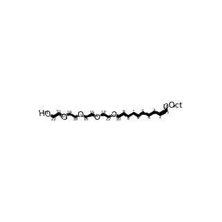 CCCCCCCC/C=C\CCCCCCCCOCCOCCOCCOCCO